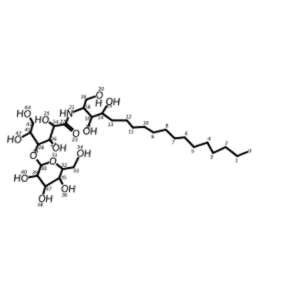 CCCCCCCCCCCCCCC(O)C(O)C(CO)NC(=O)C(O)C(O)C(OC1OC(CO)C(O)C(O)C1O)C(O)CO